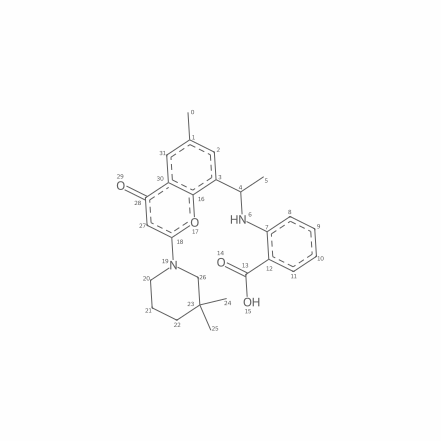 Cc1cc(C(C)Nc2ccccc2C(=O)O)c2oc(N3CCCC(C)(C)C3)cc(=O)c2c1